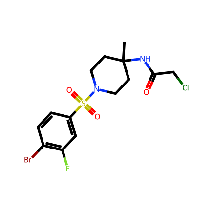 CC1(NC(=O)CCl)CCN(S(=O)(=O)c2ccc(Br)c(F)c2)CC1